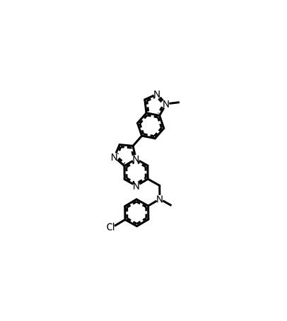 CN(Cc1cn2c(-c3ccc4c(cnn4C)c3)cnc2cn1)c1ccc(Cl)cc1